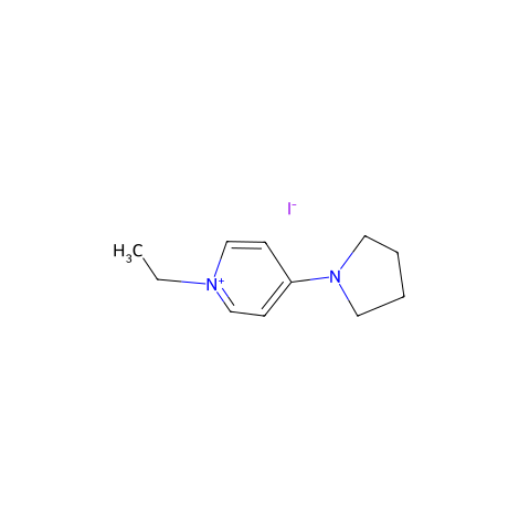 CC[n+]1ccc(N2CCCC2)cc1.[I-]